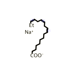 CC/C=C\C/C=C\C/C=C\CCCCCCCC(=O)[O-].[Na+]